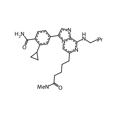 CNC(=O)CCCCc1cn2c(-c3ccc(C(N)=O)c(C4CC4)c3)cnc2c(NCC(C)C)n1